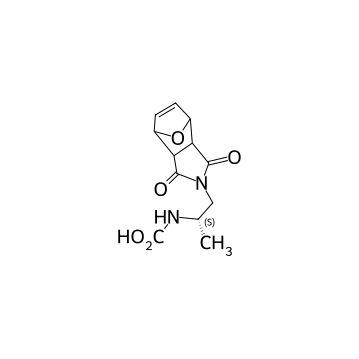 C[C@@H](CN1C(=O)C2C3C=CC(O3)C2C1=O)NC(=O)O